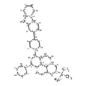 CC(C)(C)c1cc2ccc3c(-c4ccccc4)cc(-c4ccc(-c5ccc6c(c5)oc5ccccc56)cc4)c4ccc(c1)c2c34